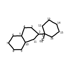 FC1(C2CCC3CCCCC3C2)CCCCC1